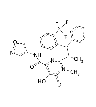 CC(c1nc(C(=O)Nc2cnoc2)c(O)c(=O)n1C)C(c1ccccc1)c1ccccc1C(F)(F)F